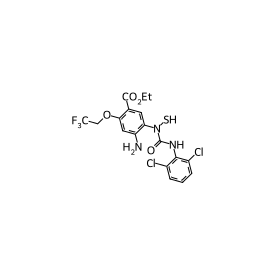 CCOC(=O)c1cc(N(S)C(=O)Nc2c(Cl)cccc2Cl)c(N)cc1OCC(F)(F)F